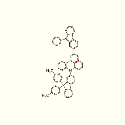 Cc1ccc(C2(c3ccc(C)cc3)c3ccccc3-c3ccc(N(c4ccccc4)c4ccccc4-c4cccc(-c5ccc6c7ccccc7n(-c7ccccc7)c6c5)c4)cc32)cc1